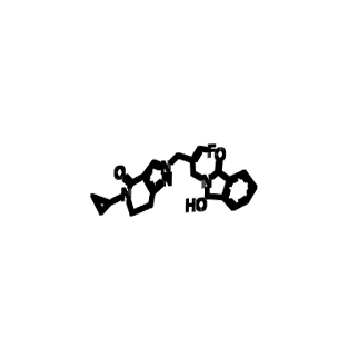 O=C1c2cn(C/C(=C/F)CN3C(=O)c4ccccc4C3O)nc2CCN1C1CC1